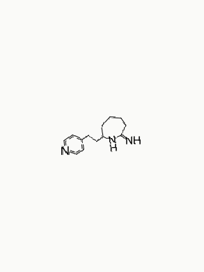 N=C1CCCCC(CCc2ccncc2)N1